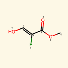 COC(=O)C(F)=CO